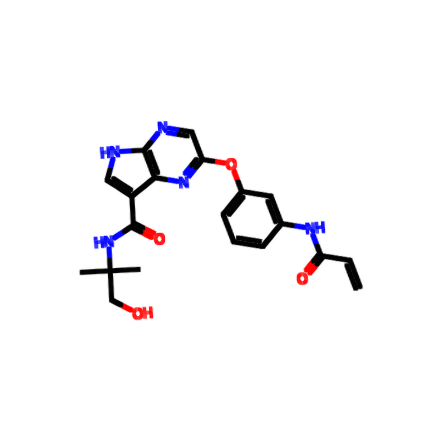 C=CC(=O)Nc1cccc(Oc2cnc3[nH]cc(C(=O)NC(C)(C)CO)c3n2)c1